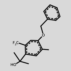 Cc1cc(C(C)(C)O)c(C(F)(F)F)cc1OCc1ccccc1